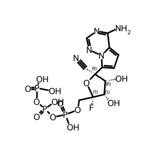 N#C[C@@]1(c2ccc3c(N)ncnn23)O[C@](F)(COP(=O)(O)OP(=O)(O)OP(=O)(O)O)[C@@H](O)[C@H]1O